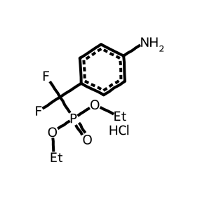 CCOP(=O)(OCC)C(F)(F)c1ccc(N)cc1.Cl